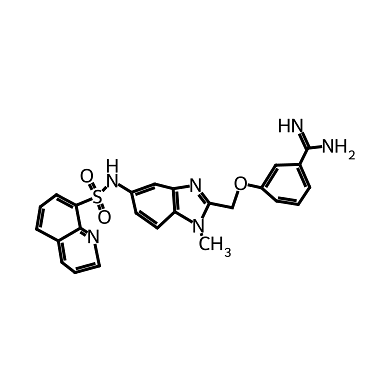 Cn1c(COc2cccc(C(=N)N)c2)nc2cc(NS(=O)(=O)c3cccc4cccnc34)ccc21